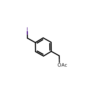 CC(=O)OCc1ccc(CI)cc1